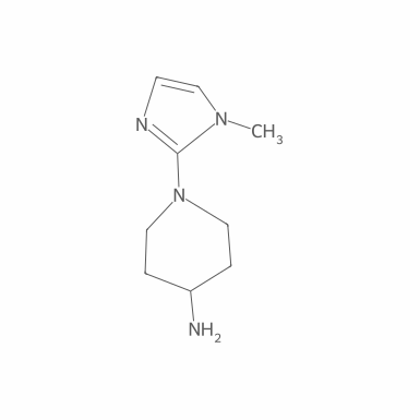 Cn1ccnc1N1CCC(N)CC1